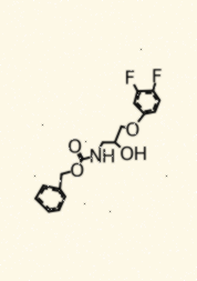 O=C(NCC(O)COc1ccc(F)c(F)c1)OCc1ccccc1